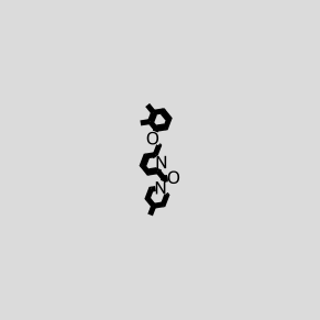 Cc1cccc(OCc2cccc(C(=O)N3CCC(C)CC3)n2)c1C